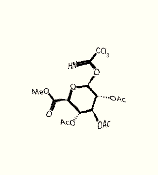 COC(=O)[C@H]1O[C@@H](OC(=N)C(Cl)(Cl)Cl)[C@H](OC(C)=O)[C@@H](OC(C)=O)[C@@H]1OC(C)=O